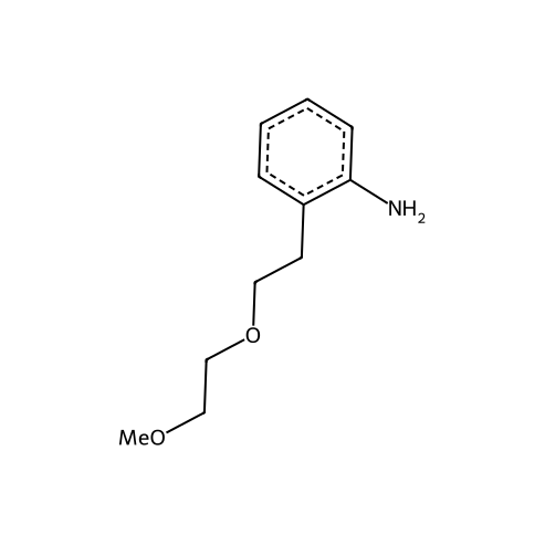 COCCOCCc1ccccc1N